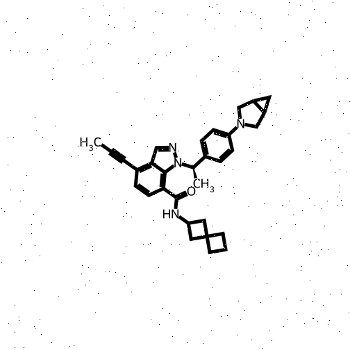 CC#Cc1ccc(C(=O)NC2CC3(CCC3)C2)c2c1cnn2[C@H](C)c1ccc(N2CC3CC3C2)cc1